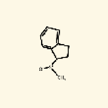 C[S+]([O-])C1CCc2ccccc21